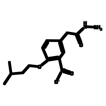 CC(C)CCOc1ccc(CC(=O)NN)cc1[N+](=O)[O-]